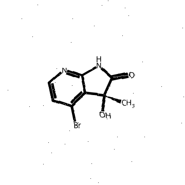 C[C@]1(O)C(=O)Nc2nccc(Br)c21